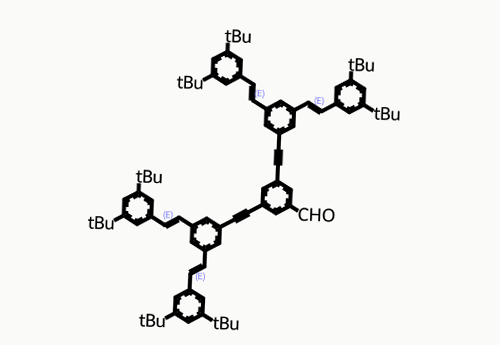 CC(C)(C)c1cc(/C=C/c2cc(C#Cc3cc(C#Cc4cc(/C=C/c5cc(C(C)(C)C)cc(C(C)(C)C)c5)cc(/C=C/c5cc(C(C)(C)C)cc(C(C)(C)C)c5)c4)cc(C=O)c3)cc(/C=C/c3cc(C(C)(C)C)cc(C(C)(C)C)c3)c2)cc(C(C)(C)C)c1